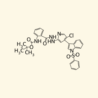 CC(C)(C)OC(=O)Nc1ccccc1C(=O)NNc1cc(-c2cn(S(=O)(=O)c3ccccc3)c3ccccc23)c(Cl)cn1